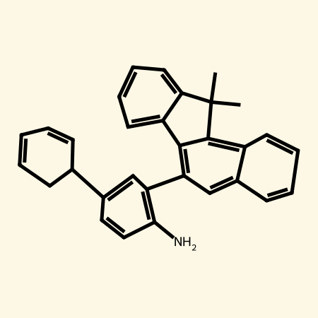 CC1(C)c2ccccc2-c2c(-c3cc(C4C=CC=CC4)ccc3N)cc3ccccc3c21